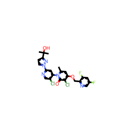 Cc1cc(OCc2ncc(F)cc2F)c(Cl)c(=O)n1-c1cc(-n2ccc(C(C)(C)O)n2)ncc1Cl